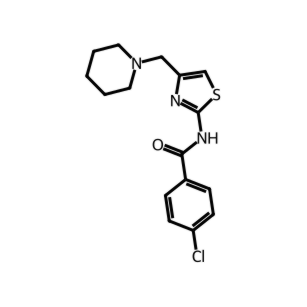 O=C(Nc1nc(CN2CCCCC2)cs1)c1ccc(Cl)cc1